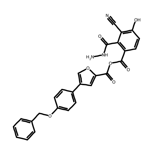 N#Cc1c(O)ccc(C(=O)OC(=O)c2cc(-c3ccc(OCc4ccccc4)cc3)co2)c1C(=O)NN